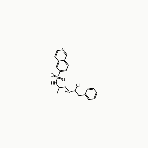 CC(CNC(Cl)Cc1ccccc1)NS(=O)(=O)c1ccc2cnccc2c1